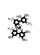 Cc1cc(-c2cc(C)cc(C(C)(C)C)c2Op2oc3c(C)cc(C(C)(C)C)cc3c3cc(C(C)(C)C)cc(C(C)(C)C)c3o2)c(O)c(C(C)(C)C)c1